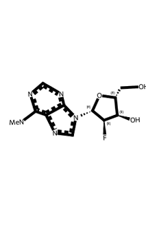 CNc1ncnc2c1ncn2[C@@H]1O[C@H](CO)[C@@H](O)[C@H]1F